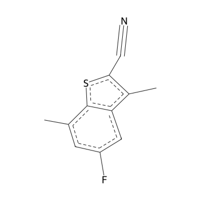 Cc1c(C#N)sc2c(C)cc(F)cc12